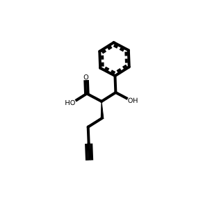 C#CCC[C@@H](C(=O)O)C(O)c1ccccc1